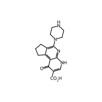 O=C(O)c1c[nH]c2nc(N3CCNCC3)c3c(c2c1=O)CCC3